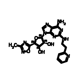 Cc1noc([C@H]2O[C@@H](n3cnc4c(N)nc(NCCc5ccccn5)nc43)[C@H](O)[C@@H]2O)n1